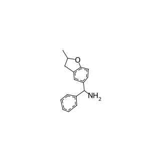 CC1Cc2cc(C(N)c3ccccc3)ccc2O1